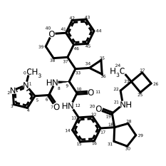 Cn1nccc1C(=O)N[C@H](C(=O)Nc1cccc(C2(C(=O)NCC3(C)CCC3)CCCC2)c1)C(C1CC1)C1CCOc2ccccc21